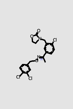 C/C(=N\OCc1ccc(Cl)c(Cl)c1)c1ccc(Cl)c(CN2CCOC2=O)c1